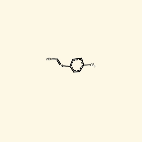 CCCCC=Nc1ccc(C(F)(F)F)cc1